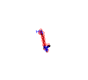 C=CC(=O)N1CCN(c2nc(O[C@H](C)CN3CCC(OCCOCCOCCOCCOCCOc4ccc5c(c4)C(=O)N(C4CCC(=O)NC4=O)C5=O)CC3)nc3c2CCN(c2cc(O)cc4ccccc24)C3)CC1